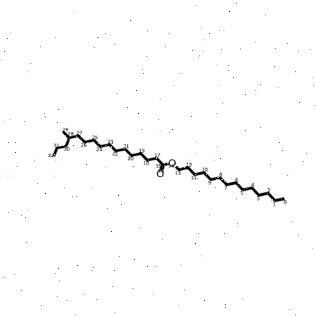 CCCCCCCCCCCCCCOC(=O)CCCCCCCCCCCC(C)CCC